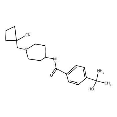 CC(N)(O)c1ccc(C(=O)NC2CCN(CC3(C#N)CCC3)CC2)cc1